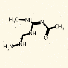 CN/C(=N/C(C)=O)NCNN